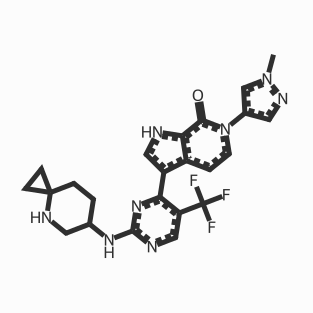 Cn1cc(-n2ccc3c(-c4nc(NC5CCC6(CC6)NC5)ncc4C(F)(F)F)c[nH]c3c2=O)cn1